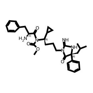 COC(=O)N(C(=O)[C@@H](N)Cc1ccccc1)[C@H](CCCN1C(=N)N[C@](CC(C)C)(c2ccccc2)C1=O)C1CC1